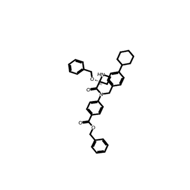 O=C(OCc1ccccc1)c1ccc(N(Cc2ccc(C3CCCCC3)cc2)C(=O)[C@]2(OCc3ccccc3)CCN2)cc1